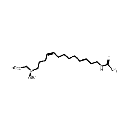 CCCCCCCCCCCN(CCCC)CCC/C=C\CCCCCCCCNC(=O)C(F)(F)F